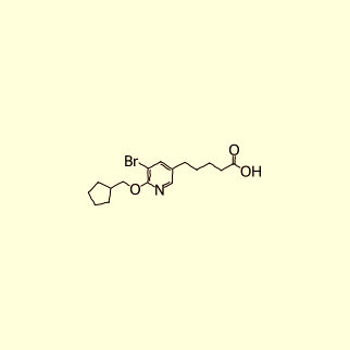 O=C(O)CCCCc1cnc(OCC2CCCC2)c(Br)c1